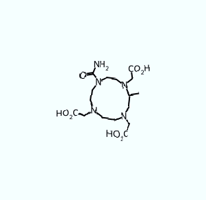 CC1CN(CC(=O)O)CCN(CC(=O)O)CCN(C(N)=O)CCN1CC(=O)O